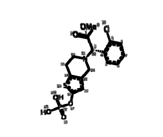 COC(=O)[C@H](c1ccccc1Cl)N1CCc2sc(OP(=O)(O)O)cc2C1